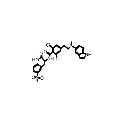 CP(CCc1cc(Cl)c(C(=O)N[C@@H](Cc2cccc(S(C)(=O)=O)c2)C(=O)O)c(Cl)c1)c1ccc2[nH]ccc2c1